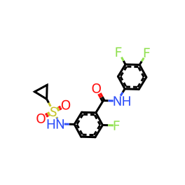 O=C(Nc1ccc(F)c(F)c1)c1cc(NS(=O)(=O)C2CC2)ccc1F